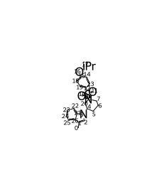 Cc1cn(C2CCCN(S(=O)(=O)c3ccc(OC(C)C)cc3)C2)c2ccccc12